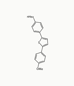 CCCCCCc1ccc(-c2ccc(-c3ccc(OC)cc3)s2)cc1